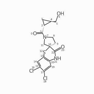 O=C([C@@H]1C[C@H]1CO)N1CC[C@@]2(C1)Sc1cc(Cl)c(Cl)cc1NC2=O